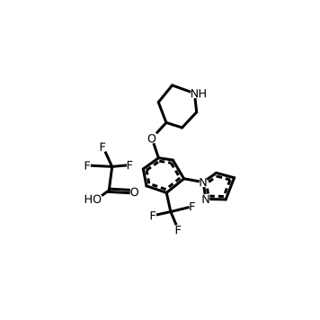 FC(F)(F)c1ccc(OC2CCNCC2)cc1-n1cccn1.O=C(O)C(F)(F)F